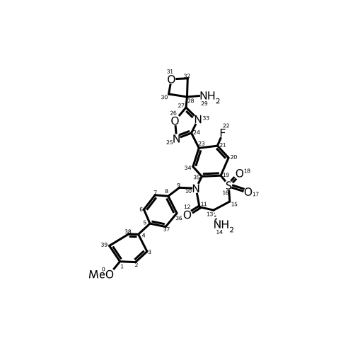 COc1ccc(-c2ccc(CN3C(=O)[C@@H](N)CS(=O)(=O)c4cc(F)c(-c5noc(C6(N)COC6)n5)cc43)cc2)cc1